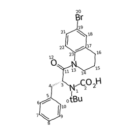 CC(C)(C)N(C(=O)O)[C@H](Cc1ccccc1)C(=O)N1CCCc2cc(Br)ccc21